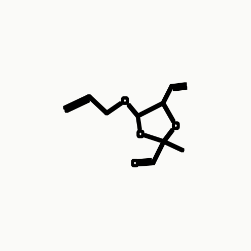 C=CCOC1OC(C)(C=O)OC1C=C